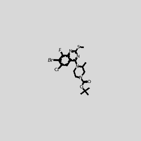 CSc1nc(N2CCN(C(=O)OC(C)(C)C)CC2C)c2cc(Cl)c(Br)c(F)c2n1